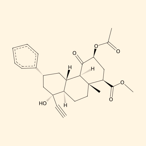 C#C[C@@]1(O)C[C@H](c2ccccc2)C[C@@H]2[C@H]3C(=O)[C@@H](OC(C)=O)C[C@@H](C(=O)OC)[C@]3(C)CC[C@H]21